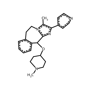 Cc1c(-c2ccncc2)nc2n1CCc1ccccc1C2OC1CCN(C)CC1